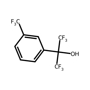 OC(c1cccc(C(F)(F)F)c1)(C(F)(F)F)C(F)(F)F